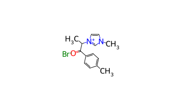 Cc1ccc(C(=O)C(C)[n+]2ccn(C)c2)cc1.[Br-]